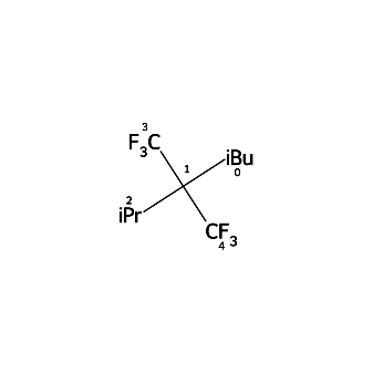 CCC(C)C(C(C)C)(C(F)(F)F)C(F)(F)F